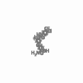 NC(=O)C1C=C(Oc2ccc(NC(=O)Nc3ccc(Cl)c(C(F)(F)F)c3)c(F)c2)C=CN1O